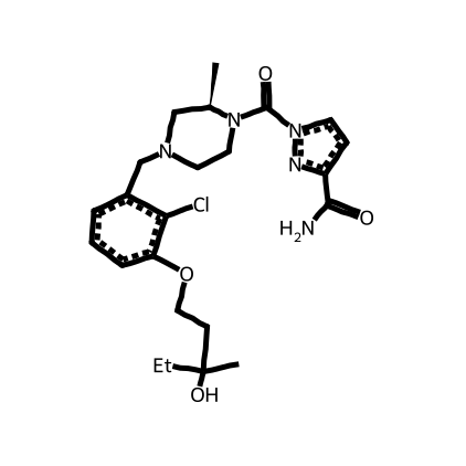 CCC(C)(O)CCOc1cccc(CN2CCN(C(=O)n3ccc(C(N)=O)n3)[C@H](C)C2)c1Cl